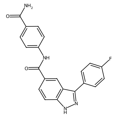 NC(=O)c1ccc(NC(=O)c2ccc3[nH]nc(-c4ccc(F)cc4)c3c2)cc1